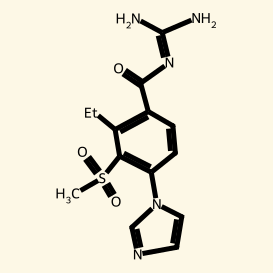 CCc1c(C(=O)N=C(N)N)ccc(-n2ccnc2)c1S(C)(=O)=O